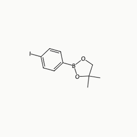 CC1(C)COB(c2ccc(I)cc2)O1